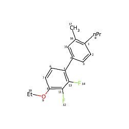 CCCc1ccc(-c2ccc(OCC)c(F)c2F)cc1C